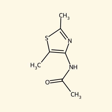 CC(=O)Nc1nc(C)sc1C